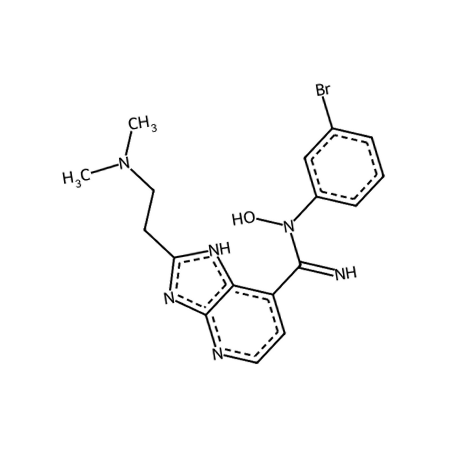 CN(C)CCc1nc2nccc(C(=N)N(O)c3cccc(Br)c3)c2[nH]1